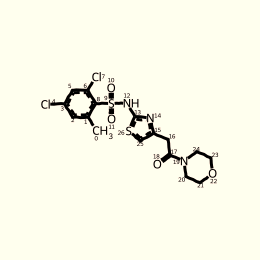 Cc1cc(Cl)cc(Cl)c1S(=O)(=O)Nc1nc(CC(=O)N2CCOCC2)cs1